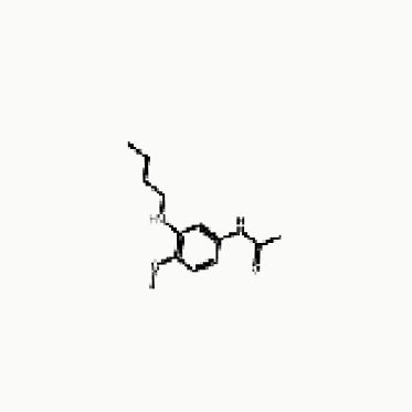 CCCCNc1cc(NC(C)=O)ccc1OC